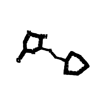 O=c1cn[nH]c(SCc2ccccc2)n1